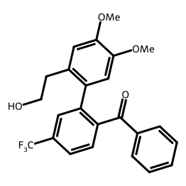 COc1cc(CCO)c(-c2cc(C(F)(F)F)ccc2C(=O)c2ccccc2)cc1OC